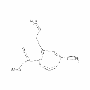 C=CCc1cc(C)ccc1C(=O)OC